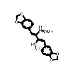 CONC(=C\c1ccc2c(c1)OCO2)/C(=C/c1ccc2c(c1)OCO2)NC=O